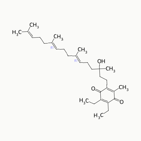 CCC1=C(CC)C(=O)C(CCC(C)(O)CC/C=C(\C)CC/C=C(\C)CCC=C(C)C)=C(C)C1=O